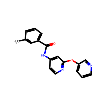 Cc1cccc(C(=O)Nc2ccnc(Oc3cccnc3)c2)c1